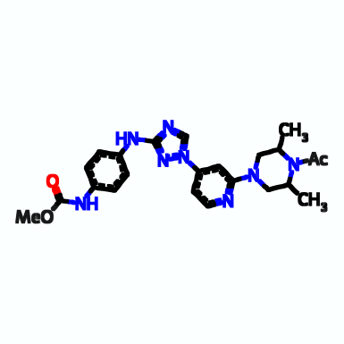 COC(=O)Nc1ccc(Nc2ncn(-c3ccnc(N4CC(C)N(C(C)=O)C(C)C4)c3)n2)cc1